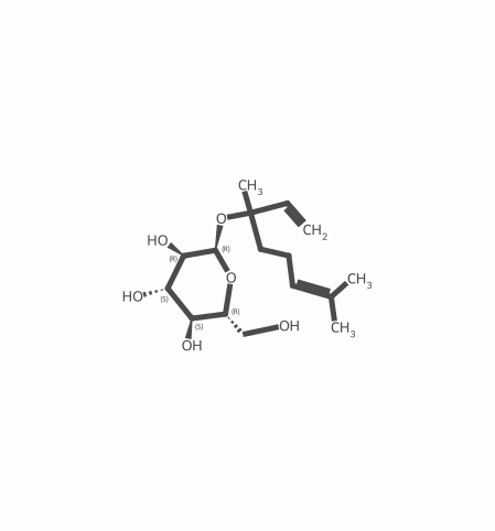 C=CC(C)(CCC=C(C)C)O[C@H]1O[C@H](CO)[C@@H](O)[C@H](O)[C@H]1O